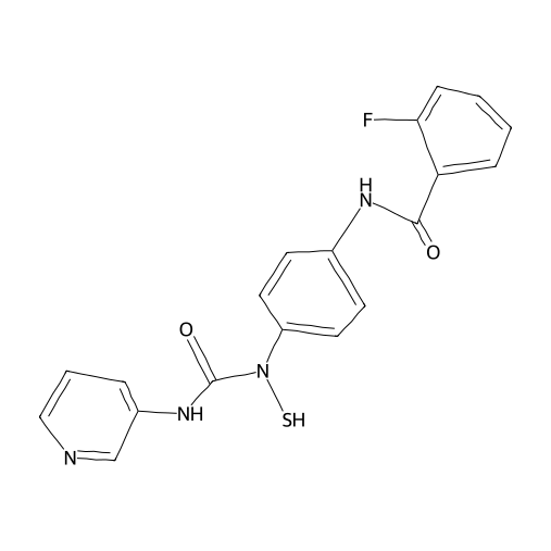 O=C(Nc1ccc(N(S)C(=O)Nc2cccnc2)cc1)c1ccccc1F